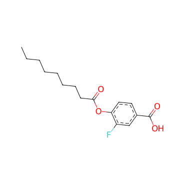 CCCCCCCCC(=O)Oc1ccc(C(=O)O)cc1F